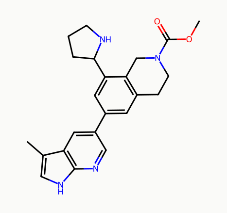 COC(=O)N1CCc2cc(-c3cnc4[nH]cc(C)c4c3)cc(C3CCCN3)c2C1